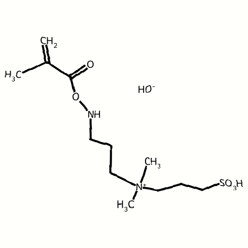 C=C(C)C(=O)ONCCC[N+](C)(C)CCCS(=O)(=O)O.[OH-]